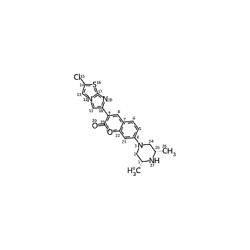 C[C@@H]1CN(c2ccc3cc(-c4cn5cc(Cl)sc5n4)c(=O)oc3c2)C[C@H](C)N1